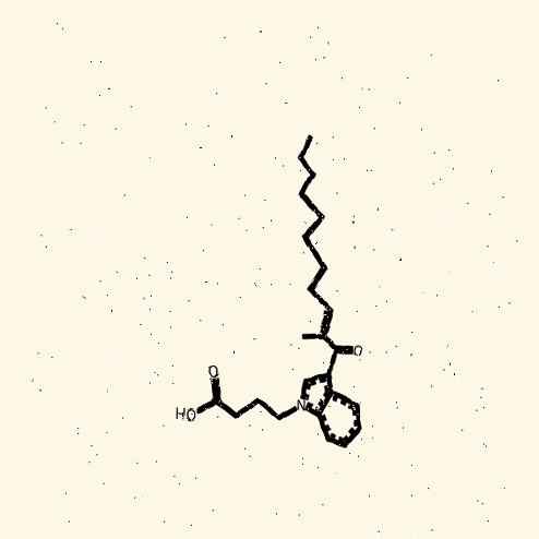 CCCCCCCC/C=C(\C)C(=O)c1cn(CCCC(=O)O)c2ccccc12